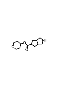 O=C(OC1CCOCC1)C1CC2CNCC2C1